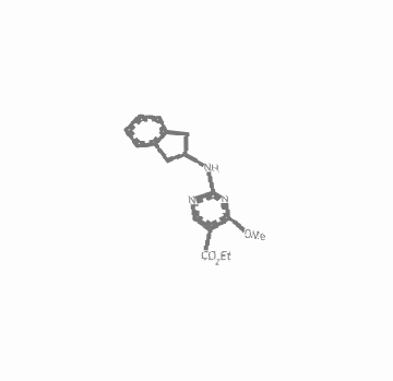 CCOC(=O)c1cnc(NC2Cc3ccccc3C2)nc1OC